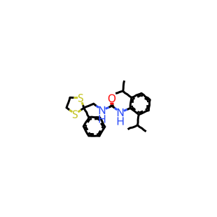 CC(C)c1cccc(C(C)C)c1NC(=O)NCC1(c2ccccc2)SCCS1